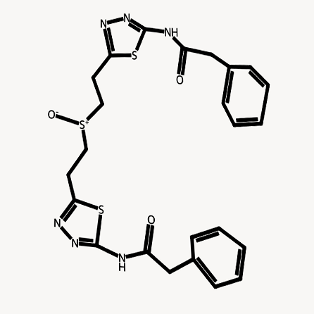 O=C(Cc1ccccc1)Nc1nnc(CC[S+]([O-])CCc2nnc(NC(=O)Cc3ccccc3)s2)s1